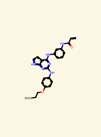 C=CC(=O)Nc1cccc(Nc2nc(Nc3ccc(OCCOC)cc3)nc3[nH]ccc23)c1